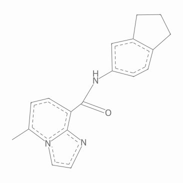 Cc1ccc(C(=O)Nc2ccc3c(c2)CCC3)c2nccn12